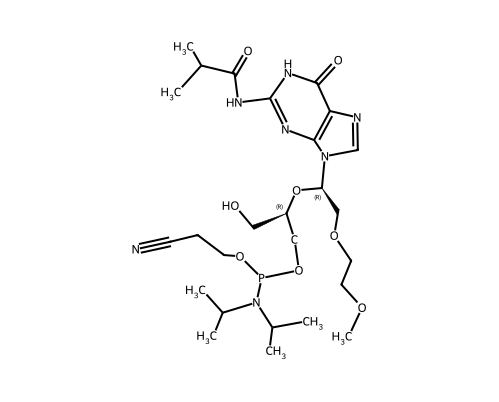 COCCOC[C@@H](O[C@H](CO)COP(OCCC#N)N(C(C)C)C(C)C)n1cnc2c(=O)[nH]c(NC(=O)C(C)C)nc21